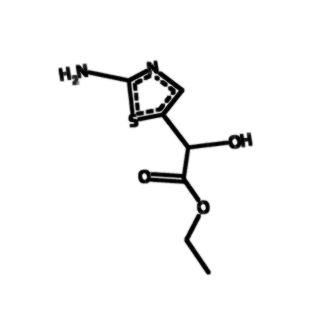 CCOC(=O)C(O)c1cnc(N)s1